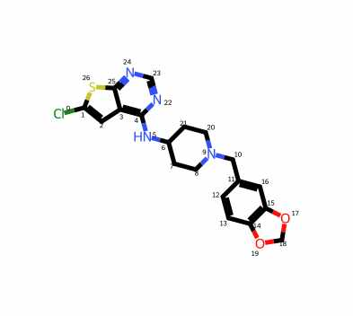 Clc1cc2c(NC3CCN(Cc4ccc5c(c4)OCO5)CC3)ncnc2s1